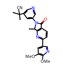 COc1cc(-c2ccc3c(n2)C(C)N(c2cncc(C(C)(C)C#N)c2)C3=O)cnc1OC